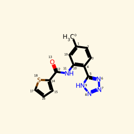 Cc1ccc(-c2nnn[nH]2)c(NC(=O)c2cccs2)c1